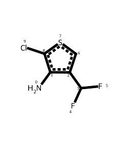 Nc1c(C(F)F)csc1Cl